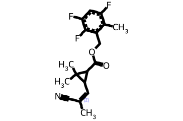 C/C(C#N)=C/C1C(C(=O)OCc2c(C)c(F)cc(F)c2F)C1(C)C